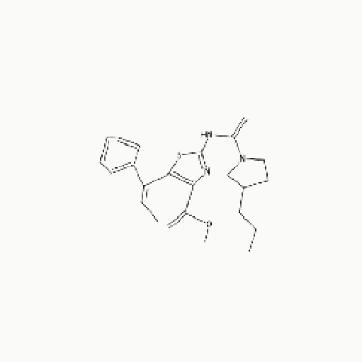 C=C(OC)c1nc(NC(=C)N2CCC(CCC)C2)sc1/C(=C\C)c1ccccc1